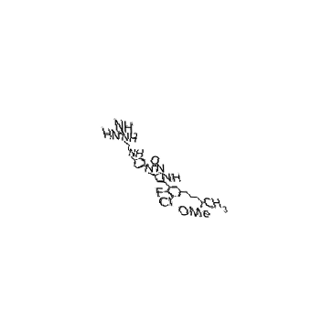 COC[C@H](C)CCCc1cc(Cl)c(F)c(-c2cc3cn(-c4ccc(CNCCCNC(=N)N)cc4)c(=O)nc3[nH]2)c1